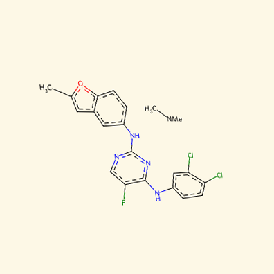 CNC.Cc1cc2cc(Nc3ncc(F)c(Nc4ccc(Cl)c(Cl)c4)n3)ccc2o1